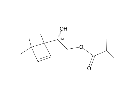 CC(C)C(=O)OC[C@@H](O)C1(C)C=CC1(C)C